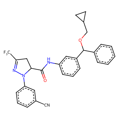 N#Cc1cccc(N2N=C(C(F)(F)F)CC2C(=O)Nc2cccc(C(OCC3CC3)c3ccccc3)c2)c1